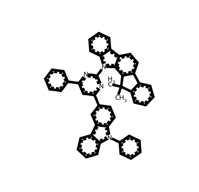 CC1(C)c2ccccc2-c2ccc3c4ccccc4n(-c4nc(-c5ccccc5)cc(-c5ccc6c(c5)c5ccccc5n6-c5ccccc5)n4)c3c21